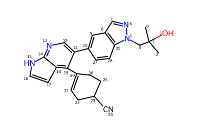 CC(C)(O)Cn1ncc2cc(-c3cnc4[nH]ccc4c3C3=CCC(C#N)CC3)ccc21